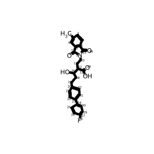 Cc1ccc2c(c1)C(=O)N(CCC(C(=O)O)C(O)CCc1ccc(-c3ccc(F)cc3)cc1)C2=O